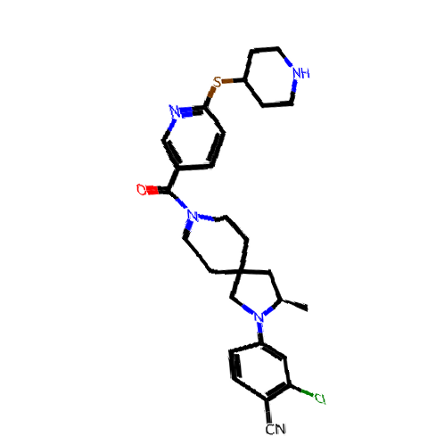 C[C@@H]1CC2(CCN(C(=O)c3ccc(SC4CCNCC4)nc3)CC2)CN1c1ccc(C#N)c(Cl)c1